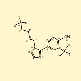 CC(C)(C)c1cc(-c2nccn2COCC[Si](C)(C)C)ccc1O